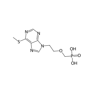 CSc1ncnc2c1ncn2CCOCP(=O)(O)O